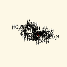 CC(C)C[C@H](NC(=O)[C@H](CO)NC(=O)[C@@H](NC(=O)[C@H](CCC(=O)O)NC(=O)[C@H](Cc1ccccc1)NC(=O)[C@@H]1CCCN1)C(C)C)C(=O)N[C@H](C(=O)N[C@H](C(=O)N[C@@H](CO)C(=O)N[C@H](C(=O)N[C@@H](C)C(=O)N[C@H](C(=O)N[C@H](C(=O)N[C@H](C(=O)N[C@H](C(=O)N[C@@H](CC(=O)O)C(=O)N[C@H](C(=O)N[C@@H](CC(C)C)C(=O)N[C@@H](CC(=O)O)C(=O)N[C@H](C(=O)O)C(C)C)C(C)C)C(C)C)[C@@H](C)O)C(C)C)[C@@H](C)O)[C@@H](C)O)[C@@H](C)O)[C@@H](C)O